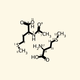 CSCCC(NC(C)=O)C(=O)O.CSCC[C@H](N)C(=O)O